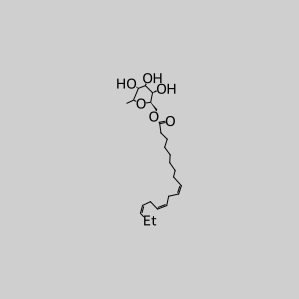 CC/C=C\C/C=C\C/C=C\CCCCCCCC(=O)OC[C@H]1OC(C)[C@H](O)[C@@H](O)[C@H]1O